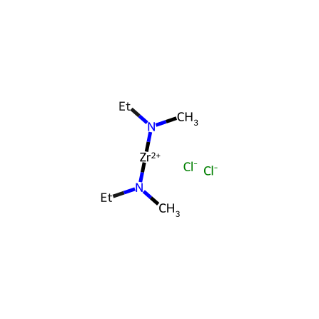 CC[N](C)[Zr+2][N](C)CC.[Cl-].[Cl-]